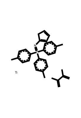 C=C(C)C(=C)C.Cc1ccc(P(=NC2=CC=CC2)(c2ccc(C)cc2)c2ccc(C)cc2)cc1.[Ti]